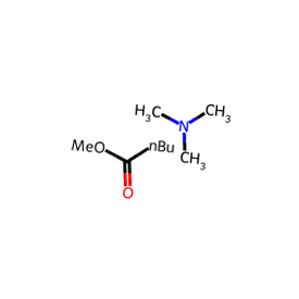 CCCCC(=O)OC.CN(C)C